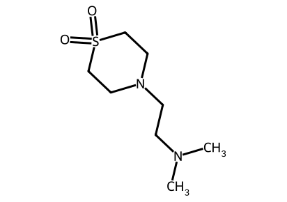 CN(C)CCN1CCS(=O)(=O)CC1